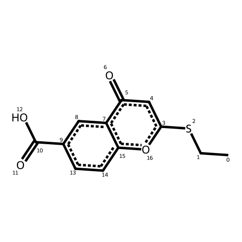 CCSc1cc(=O)c2cc(C(=O)O)ccc2o1